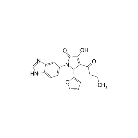 CCCC(=O)C1=C(O)C(=O)N(c2ccc3[nH]cnc3c2)C1c1ccco1